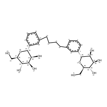 OC[C@H]1O[C@H](c2cccc(CCCCc3cccc([C@H]4O[C@H](CO)[C@@H](O)[C@H](O)[C@@H]4O)c3)c2)[C@@H](O)[C@@H](O)[C@@H]1O